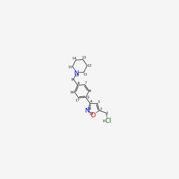 ClCc1cc(-c2ccc(CN3CCCCC3)cc2)no1